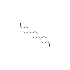 C=CC1CCC(C2CCC(C3CCC(C=C)CC3)CC2)CC1